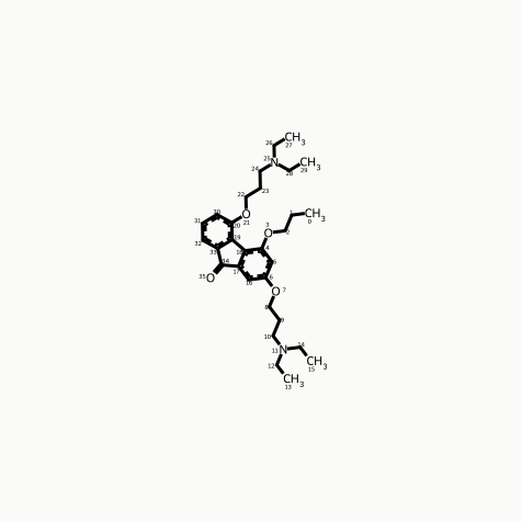 CCCOc1cc(OCCCN(CC)CC)cc2c1-c1c(OCCCN(CC)CC)cccc1C2=O